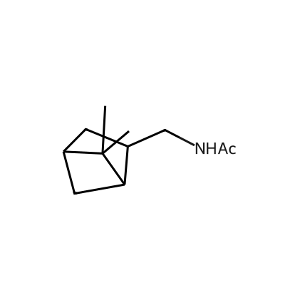 CC(=O)NCC1CC2CC1C2(C)C